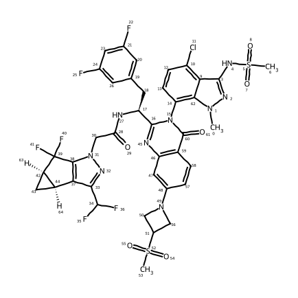 Cn1nc(NS(C)(=O)=O)c2c(Cl)ccc(-n3c([C@H](Cc4cc(F)cc(F)c4)NC(=O)Cn4nc(C(F)F)c5c4C(F)(F)[C@@H]4C[C@H]54)nc4cc(N5CC(S(C)(=O)=O)C5)ccc4c3=O)c21